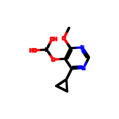 COc1ncnc(C2CC2)c1OB(O)O